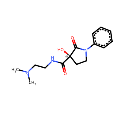 CN(C)CCNC(=O)[C@@]1(O)CCN(c2ccccc2)C1=O